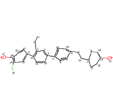 CCc1cc(-c2ccc(CCC3CCC(O)CC3)cc2)ccc1-c1ccc(O)c(F)c1